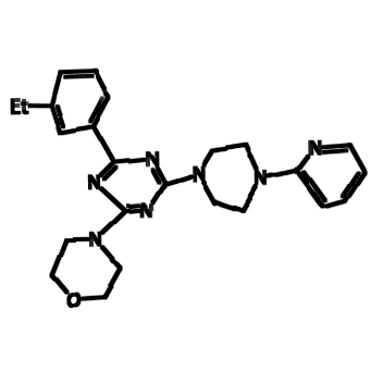 CCc1cccc(-c2nc(N3CCOCC3)nc(N3CCN(c4ccccn4)CC3)n2)c1